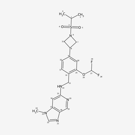 CC(C)S(=O)(=O)N1CC(c2ccc(CNc3cc4c(cn3)ncn4C)c(OC(F)F)c2)C1